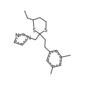 CCC1CCSC(CCc2cc(C)cc(C)c2)(Cn2ccnc2)S1